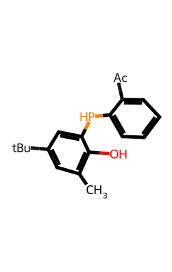 CC(=O)c1ccccc1Pc1cc(C(C)(C)C)cc(C)c1O